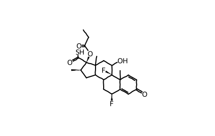 CCC(=O)O[C@]1(C(=O)S)[C@H](C)CC2C3C[C@H](F)C4=CC(=O)C=CC4(C)[C@@]3(F)C(O)CC21C